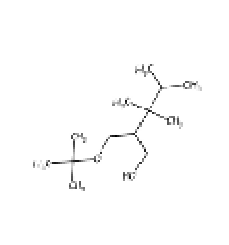 CC(C)C(C)(C)C(CO)COC(C)(C)C